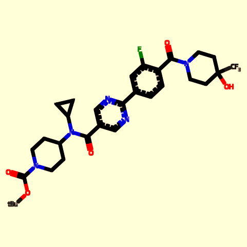 CC(C)(C)OC(=O)N1CCC(N(C(=O)c2cnc(-c3ccc(C(=O)N4CCC(O)(C(F)(F)F)CC4)c(F)c3)nc2)C2CC2)CC1